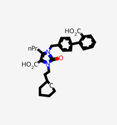 CCCc1c(C(=O)O)n(CCC2CCCCC2)c(=O)n1Cc1ccc(-c2ccccc2C(=O)O)cc1